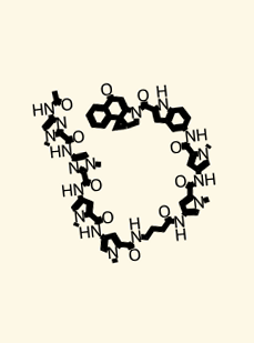 CC(=O)Nc1cn(C)c(C(=O)Nc2cn(C)c(C(=O)Nc3cc(C(=O)Nc4cc(C(=O)NCCCC(=O)Nc5cc(C(=O)Nc6cc(C(=O)Nc7ccc8[nH]c(C(=O)N9CC%10CC%10%11C9=CC(=O)c9ccccc9%11)cc8c7)n(C)c6)n(C)c5)n(C)c4)n(C)c3)n2)n1